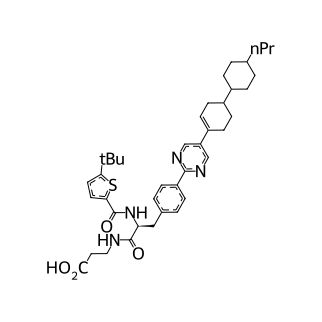 CCCC1CCC(C2CC=C(c3cnc(-c4ccc(C[C@H](NC(=O)c5ccc(C(C)(C)C)s5)C(=O)NCCC(=O)O)cc4)nc3)CC2)CC1